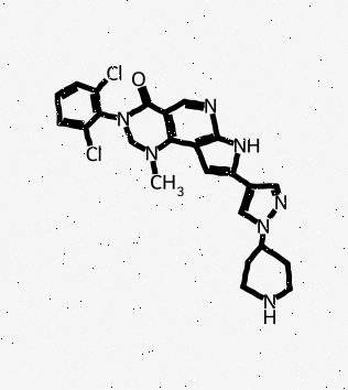 CN1CN(c2c(Cl)cccc2Cl)C(=O)c2cnc3[nH]c(-c4cnn(C5CCNCC5)c4)cc3c21